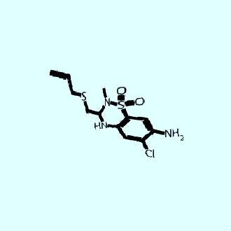 C=CCSCC1Nc2cc(Cl)c(N)cc2S(=O)(=O)N1C